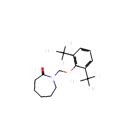 CC(C)(C)c1cccc(C(C)(C)C)c1OCN1CCCCCC1=O